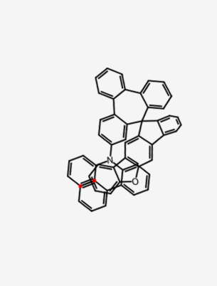 c1ccc(-c2ccccc2N(c2ccccc2)c2ccc3c(c2)C2(c4ccccc4-c4ccccc4-3)c3ccccc3-c3cc4oc5ccccc5c4cc32)cc1